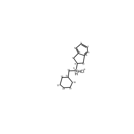 Cl.c1ccc2c(c1)CC(NCC1CCCCC1)C2